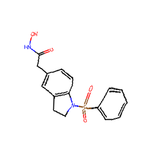 O=C(Cc1ccc2c(c1)CCN2S(=O)(=O)c1ccccc1)NO